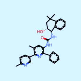 Cc1ccc(-c2nc(-c3ccccc3)c(NC(=O)N[C@@H]3c4ccccc4C(C)(C)C[C@H]3O)cc2C)cn1